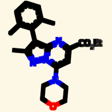 CCOC(=O)c1cc(N2CCOCC2)n2nc(C)c(-c3c(C)cccc3C)c2n1